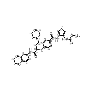 CC(C)(C)OC(=O)Nc1cscc1NC(=O)c1ccc(CN(CCN2CCOCC2)C(=O)Nc2ccc3c(c2)OCCO3)cn1